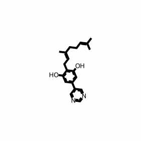 CC(C)=CCC/C(C)=C/Cc1c(O)cc(-c2cncnc2)cc1O